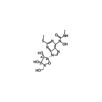 CNC(=O)N(O)c1nc(SC)nc2c1ncn2[C@@H]1O[C@H](CO)[C@@H](O)[C@H]1O